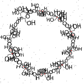 OCC1O[C@@H]2OO[C@@H]3C(CO)O[C@H](OO[C@@H]4C(CO)O[C@H](OO[C@@H]5C(CO)O[C@H](OO[C@@H]6C(CO)O[C@H](OO[C@@H]7C(CO)O[C@H](OO[C@@H]8C(CO)O[C@H](OO[C@@H]9C(CO)O[C@H](OO[C@@H]%10C(CO)O[C@H](OO[C@@H]%11C(CO)O[C@H](OO[C@H]1C(O)[C@@H]2O)C(O)[C@H]%11O)C(O)[C@H]%10O)C(O)[C@H]9O)C(O)[C@H]8O)C(O)[C@H]7O)[C@@H](O)C6O)[C@@H](O)C5O)[C@@H](O)C4O)[C@@H](O)C3O